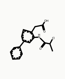 CC(Cl)C(=O)Nc1cc(-c2ccccc2)ccc1CC(=O)O